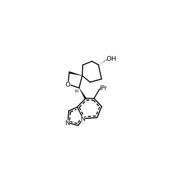 CC(C)c1ccn2cncc2c1[C@H]1OC[C@]12CC[C@H](O)CC2